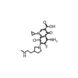 CNCCC1CCN(c2c(F)c(N)c3c(=O)c(C(=O)O)cn(C4CC4)c3c2Cl)C1